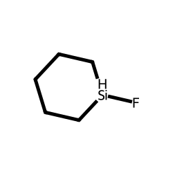 F[SiH]1CCCCC1